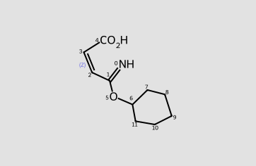 N=C(/C=C\C(=O)O)OC1CCCCC1